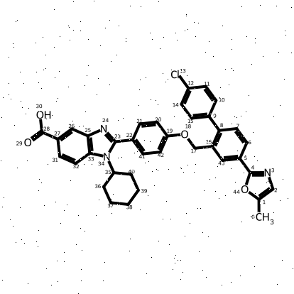 Cc1cnc(-c2ccc(-c3ccc(Cl)cc3)c(COc3ccc(-c4nc5cc(C(=O)O)ccc5n4C4CCCCC4)cc3)c2)o1